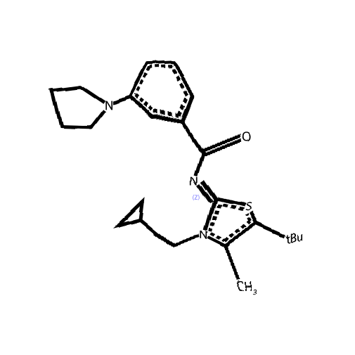 Cc1c(C(C)(C)C)s/c(=N\C(=O)c2cccc(N3CCCC3)c2)n1CC1CC1